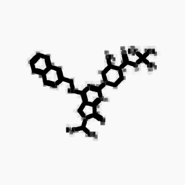 CC(C)N1Cc2c(NCc3cc4ccccc4cn3)nc(N3CCN(C(=O)OC(C)(C)C)C(C)C3)nc2C1=O